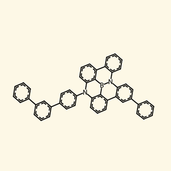 c1ccc(-c2cccc(-c3ccc(N4c5cccc6c5B5c7c(cccc74)-c4cc(-c7ccccc7)ccc4N5c4ccccc4-6)cc3)c2)cc1